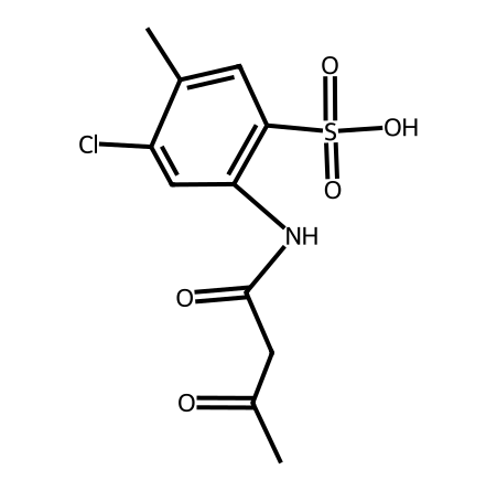 CC(=O)CC(=O)Nc1cc(Cl)c(C)cc1S(=O)(=O)O